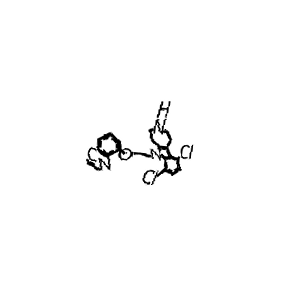 Clc1ccc(Cl)c2c1c1c(n2CCOc2cccc3cccnc23)CCNCC1